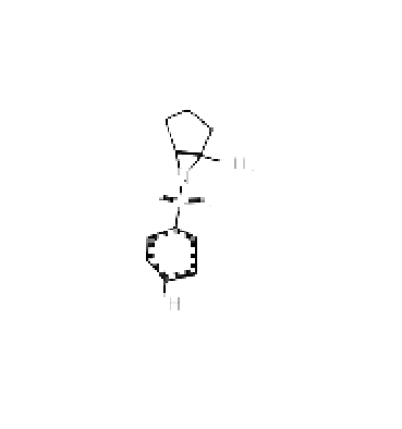 Cc1ccc(S(=O)(=O)N2C3CCCC32C)cc1